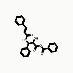 O=C(C=Cc1ccccc1)NC(c1ccccc1)C(O)C(=O)OC(=O)c1ccccc1